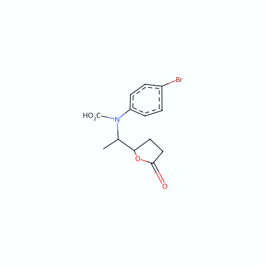 CC(C1CCC(=O)O1)N(C(=O)O)c1ccc(Br)cc1